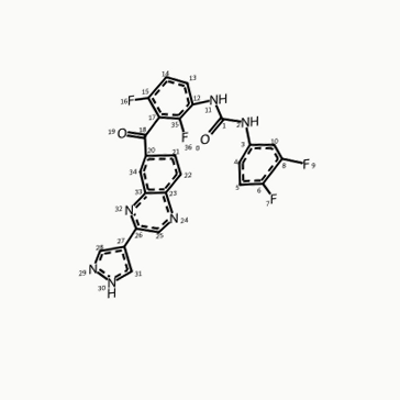 O=C(Nc1ccc(F)c(F)c1)Nc1ccc(F)c(C(=O)c2ccc3ncc(-c4cn[nH]c4)nc3c2)c1F